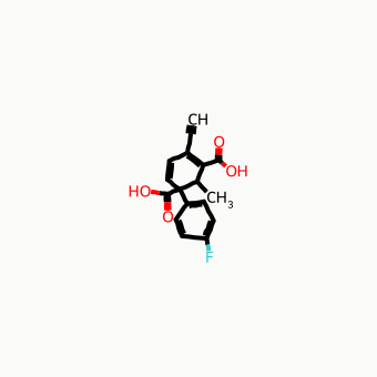 C#CC1=C(C(=O)O)C(C)C(C(=O)O)(c2ccc(F)cc2)C=C1